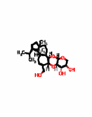 CC(C)C1=C2[C@H]3CC=C(CO)[C@H]4O[C@H]5[C@@H](OC[C@@H](O)[C@@H]5O)O[C@@H]4[C@]3(C)CC[C@@]2(C)CC1